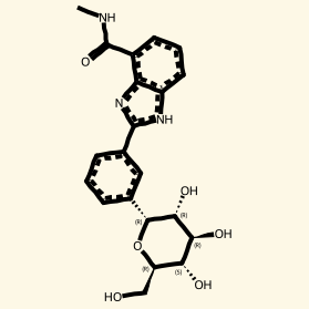 CNC(=O)c1cccc2[nH]c(-c3cccc([C@H]4O[C@H](CO)[C@@H](O)[C@H](O)[C@H]4O)c3)nc12